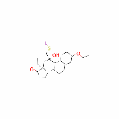 CCOC1=CC2=CCC3C(C2CC1)C(O)(CSI)C[C@]1(CC)C(=O)CCC31